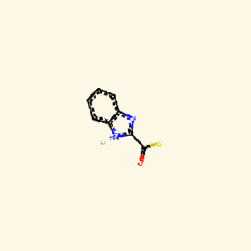 O=C([S-])c1nc2ccccc2[nH]1.[Li+]